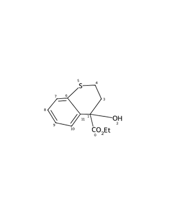 CCOC(=O)C1(O)CCSc2ccccc21